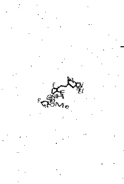 CCn1ncc2ncc(CCc3c(F)ccc(NS(=O)(=O)c4cc(F)cnc4OC)c3F)cc21